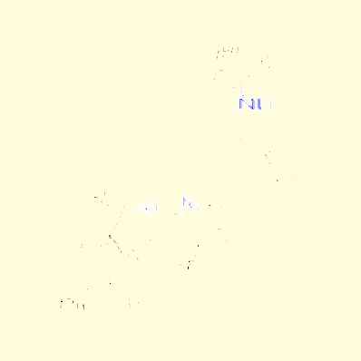 CCc1sc(-c2cc(F)cc(CNC(=O)OC(C)(C)C)c2)nc1C(=O)Nc1ccccc1CC(=O)OC(C)(C)C